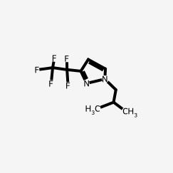 CC(C)Cn1ccc(C(F)(F)C(F)(F)F)n1